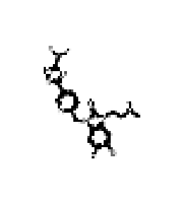 CN(C)CCn1c(=O)n(Cc2ccc(-c3nnc(C(F)F)o3)cn2)c2cc(F)c(Br)cc21